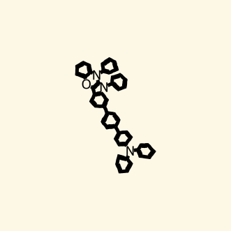 c1ccc(N(c2ccccc2)c2ccc(-c3ccc(-c4ccc5c6c(n(-c7ccccc7)c5c4)N(c4ccccc4)c4ccccc4O6)cc3)cc2)cc1